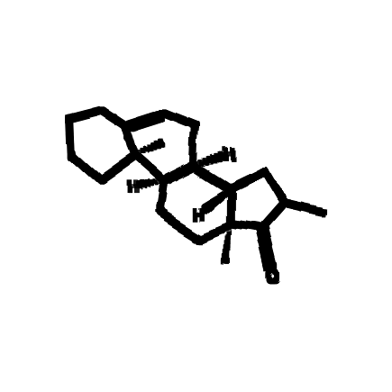 CC1C[C@H]2[C@@H]3CC=C4CCCC[C@]4(C)[C@@H]3CC[C@]2(C)C1=O